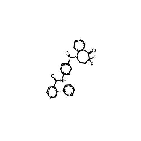 O=C(Nc1ccc(C(=O)N2CCC(F)(F)C(=O)c3ccccc32)cc1)c1ccccc1-c1ccccc1